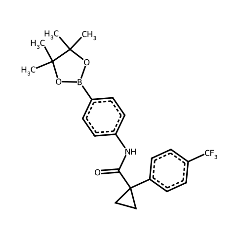 CC1(C)OB(c2ccc(NC(=O)C3(c4ccc(C(F)(F)F)cc4)CC3)cc2)OC1(C)C